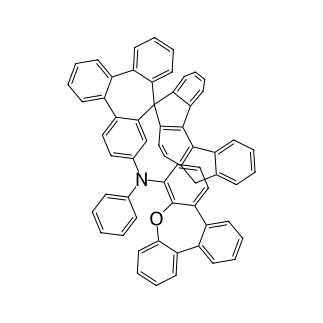 c1ccc(N(c2ccc3c(c2)C2(c4ccccc4-c4ccccc4-3)c3ccccc3-c3c2ccc2c3-c3ccccc3C2)c2cccc3c2Oc2ccccc2-c2ccccc2-3)cc1